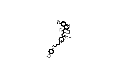 COc1ccc(SCCCN2CCC(CC[C@H](F)c3c(Cl)cnc4ccc(OC)cc34)(C(=O)O)CC2)cc1